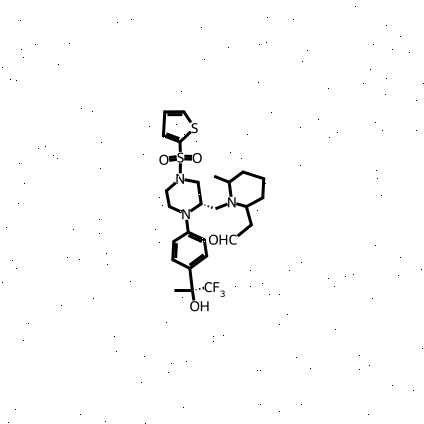 CC1CCCC(CC=O)N1C[C@H]1CN(S(=O)(=O)c2cccs2)CCN1c1ccc([C@](C)(O)C(F)(F)F)cc1